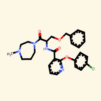 CN1CCCN(C(=O)C(COCc2ccccc2)NC(=O)c2cccnc2Oc2ccc(Cl)cc2)CC1